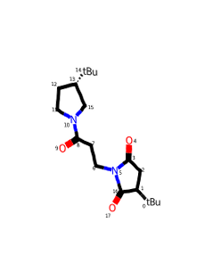 CC(C)(C)C1CC(=O)N(CCC(=O)N2CC[C@H](C(C)(C)C)C2)C1=O